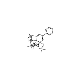 C[Si](C)(C)NC1(N[Si](C)(C)C)C=CC(c2ccccc2)=CC1(O[Si](C)(C)C)O[Si](C)(C)C